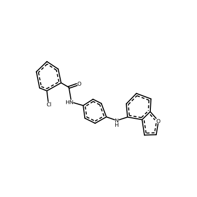 O=C(Nc1ccc(Nc2cccc3occc23)cc1)c1ccccc1Cl